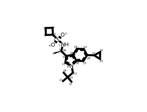 C[C@@H](NS(=O)(=O)C1CCC1)c1cn(CC(C)(C)C)c2cc(C3CC3)ccc12